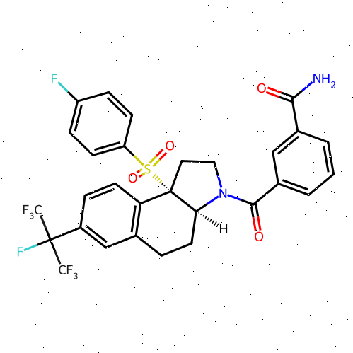 NC(=O)c1cccc(C(=O)N2CC[C@]3(S(=O)(=O)c4ccc(F)cc4)c4ccc(C(F)(C(F)(F)F)C(F)(F)F)cc4CC[C@H]23)c1